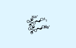 C=CCOS(=O)(=O)[O-].C=CCOS(=O)(=O)[O-].[Na+].[Na+]